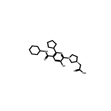 O=C(O)C[C@@H]1CCN(c2nc(C3CCCC3)c(C(=O)NC3CCCCC3)cc2S)C1